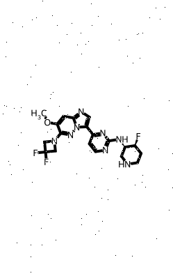 COc1cc2ncc(-c3ccnc(N[C@H]4CNCC[C@@H]4F)n3)n2nc1N1CC(F)(F)C1